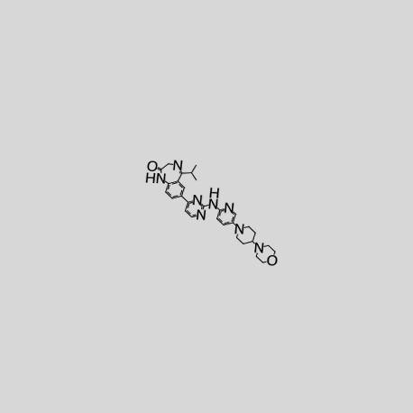 CC(C)C1=NCC(=O)Nc2ccc(-c3ccnc(Nc4ccc(N5CCC(N6CCOCC6)CC5)cn4)n3)cc21